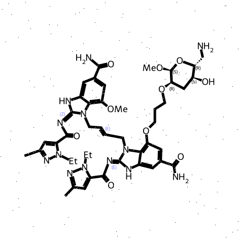 CCn1nc(C)cc1C(=O)/N=c1/[nH]c2cc(C(N)=O)cc(OC)c2n1C/C=C/Cn1/c(=N/C(=O)c2cc(C)nn2CC)[nH]c2cc(C(N)=O)cc(OCCCO[C@@H]3C[C@H](O)[C@@H](CN)O[C@@H]3OC)c21